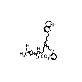 CC1(C)CN(C(=O)N[C@@H](CCN(CCCCc2ccc3c(n2)NCCC3)CCOc2ccccc2)C(=O)O)C1